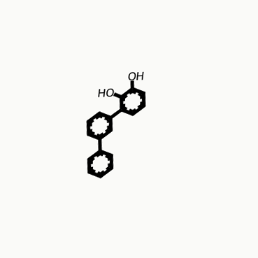 Oc1cccc(-c2cccc(-c3ccccc3)c2)c1O